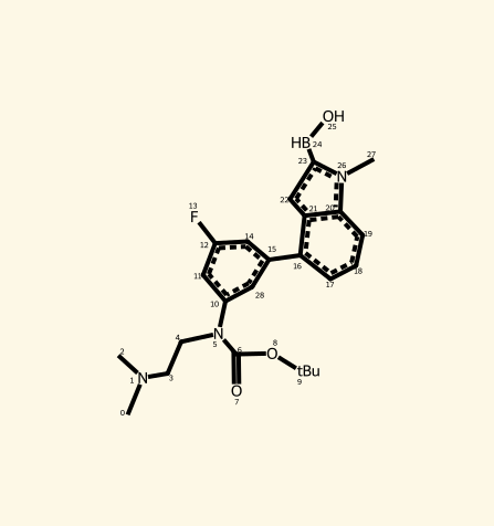 CN(C)CCN(C(=O)OC(C)(C)C)c1cc(F)cc(-c2cccc3c2cc(BO)n3C)c1